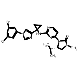 CC(C)[C@H]1CN(C)C(=O)N1c1ccnc(NC2(c3cn(-c4cc(Cl)cc(Br)c4)cn3)CC2)n1